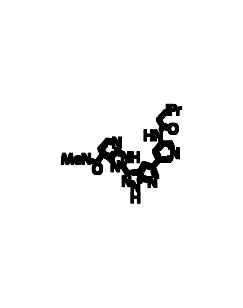 CNC(=O)c1ccnc2[nH]c(-c3n[nH]c4ncc(-c5cncc(NC(=O)CC(C)C)c5)cc34)nc12